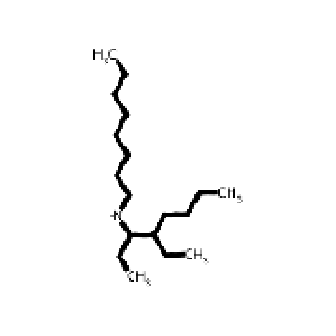 CCCCCCCC[N]C(CC)C(CC)CCCC